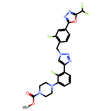 CC(C)(C)OC(=O)N1CCN(c2cccc(-c3cn(Cc4ccc(-c5nnc(C(F)F)o5)cc4F)nn3)c2F)CC1